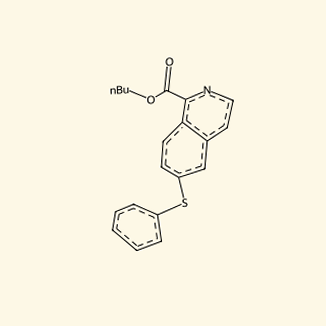 CCCCOC(=O)c1nccc2cc(Sc3ccccc3)ccc12